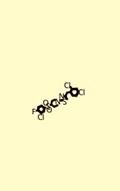 O=S(=O)(c1ccc(F)c(Cl)c1)C1CCN(c2nc(Cc3ccc(Cl)cc3Cl)cs2)CC1